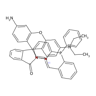 CCN(CC)c1ccc2c(c1)Oc1cc(N)ccc1C21c2ccccc2C(=O)N1/N=C/c1ccccc1P(c1ccccc1)c1ccccc1